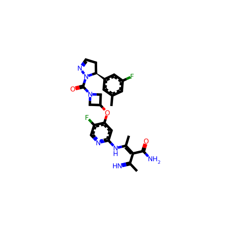 CC(=N)/C(C(N)=O)=C(/C)Nc1cc(OC2CN(C(=O)N3N=CC[C@H]3c3cc(C)cc(F)c3)C2)c(F)cn1